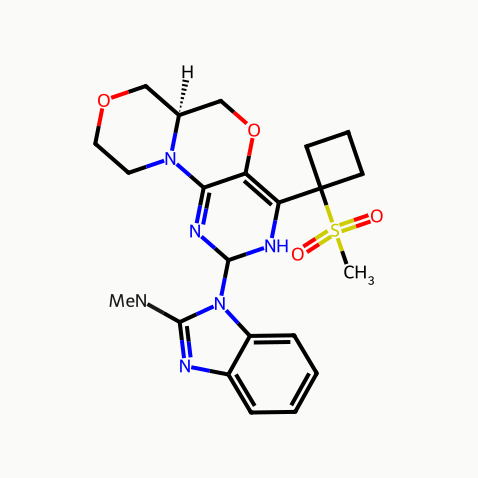 CNc1nc2ccccc2n1C1N=C2C(=C(C3(S(C)(=O)=O)CCC3)N1)OC[C@@H]1COCCN21